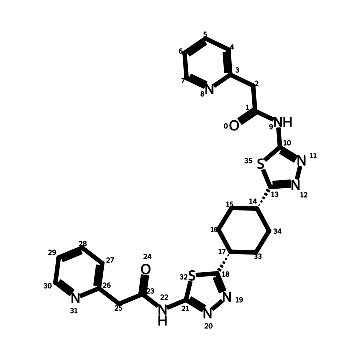 O=C(Cc1ccccn1)Nc1nnc([C@H]2CC[C@@H](c3nnc(NC(=O)Cc4ccccn4)s3)CC2)s1